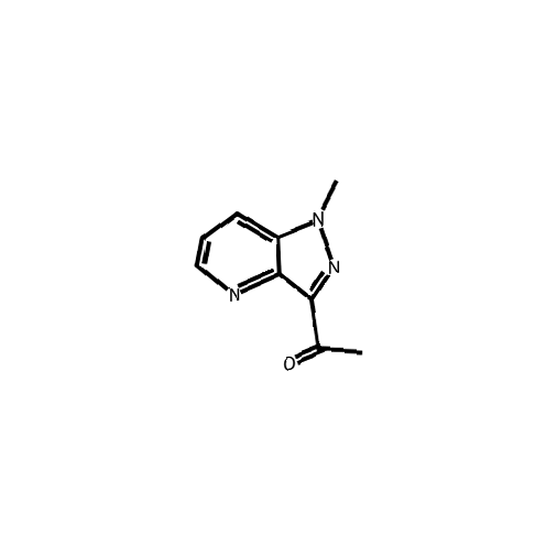 CC(=O)c1nn(C)c2cccnc12